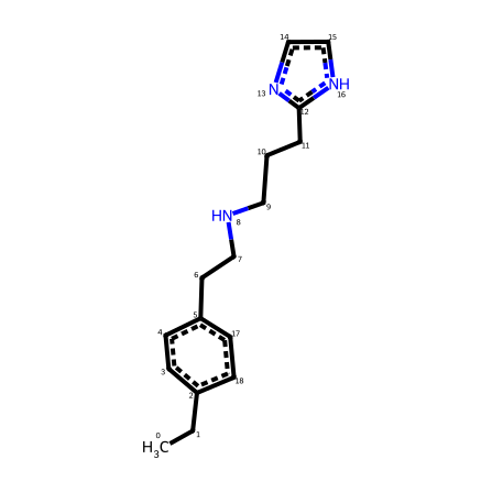 CCc1ccc(CCNCCCc2ncc[nH]2)cc1